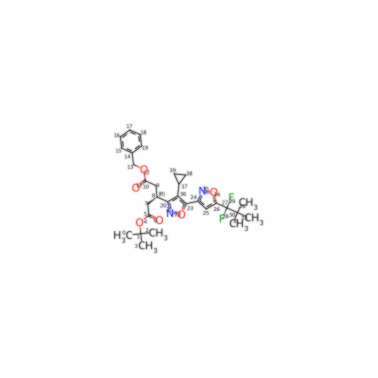 CC(C)(C)OC(=O)C[C@@H](CC(=O)OCc1ccccc1)c1noc(-c2cc(C(F)(F)C(C)(C)C)on2)c1C1CC1